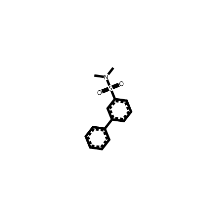 CN(C)S(=O)(=O)c1cccc(-c2ccccc2)c1